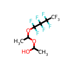 CC(O)OC(C)OC(F)(F)C(F)(F)C(F)(F)C(F)(F)F